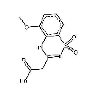 COc1cccc2c1NC(CC(=O)O)=NS2(=O)=O